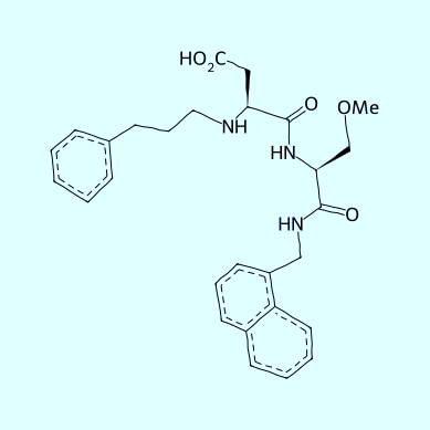 COC[C@H](NC(=O)[C@H](CC(=O)O)NCCCc1ccccc1)C(=O)NCc1cccc2ccccc12